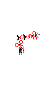 CC(C)=O.CC(C)=O.O=C([O-])[O-].O=C([O-])[O-].[K+].[K+].[K+].[K+]